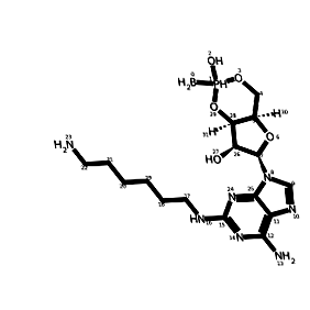 B[PH]1(O)OC[C@H]2O[C@@H](n3cnc4c(N)nc(NCCCCCCN)nc43)[C@@H](O)[C@H]2O1